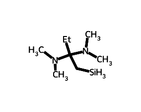 CCC(C[SiH3])(N(C)C)N(C)C